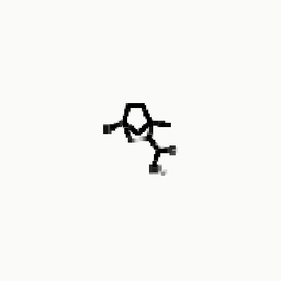 NC(=O)C1C[C@@H]2CC[C@H]1C2